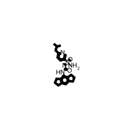 CC(C)Cc1ccc([S@](N)(=O)=NC(=O)Nc2c3c(cc4c2CCC4)CCC3)cn1